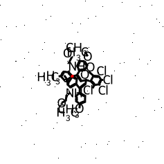 COCCNc1cc(C)ccc1C(=CC1(C=C(c2ccc(OC)cc2)c2ccc(C)cc2NCCOC)OC(=O)c2c(Cl)c(Cl)c(Cl)c(Cl)c21)c1ccc(OC)cc1